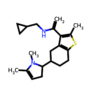 C=C(NCC1CC1)c1c(C)sc2c1CC(C1CC=C(C)N1C)CC2